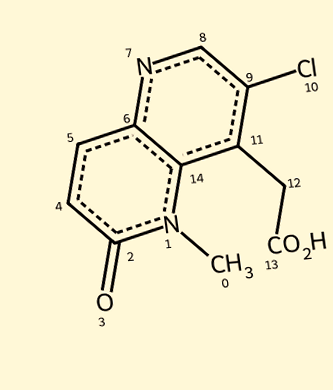 Cn1c(=O)ccc2ncc(Cl)c(CC(=O)O)c21